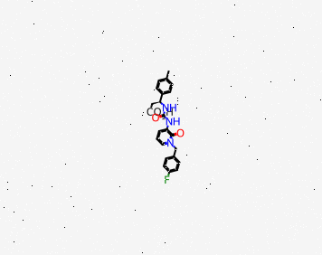 Cc1ccc([C@H](CC(=O)O)NC(=O)Nc2cccn(Cc3ccc(F)cc3)c2=O)cc1